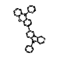 c1ccc(N2c3ccccc3Oc3cc(-c4ccc5c(c4)c4ccccc4n5-c4ccccc4)ccc32)cc1